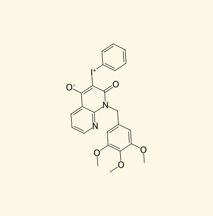 COc1cc(Cn2c(=O)c([I+]c3ccccc3)c([O-])c3cccnc32)cc(OC)c1OC